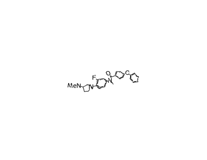 CNC1CCN(c2ccc(N(C)C(=O)c3ccc(Oc4ccccc4)cc3)cc2F)C1